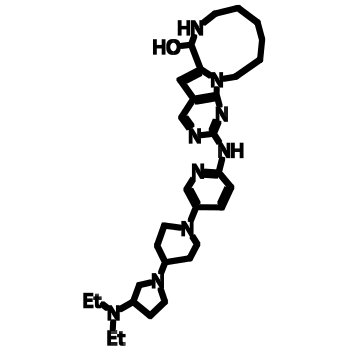 CCN(CC)C1CCN(C2CCN(c3ccc(Nc4ncc5cc6n(c5n4)CCCCCCNC6O)nc3)CC2)C1